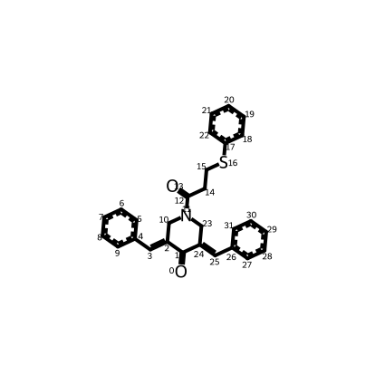 O=C1/C(=C/c2ccccc2)CN(C(=O)CCSc2ccccc2)C/C1=C\c1ccccc1